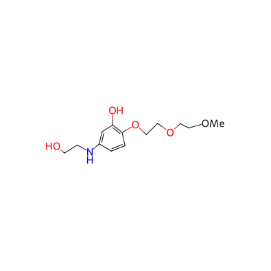 COCCOCCOc1ccc(NCCO)cc1O